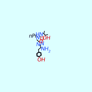 CCCN(Cc1nc(C(N)Cc2ccc(O)cc2)no1)C(=O)NC(C)C(C)O